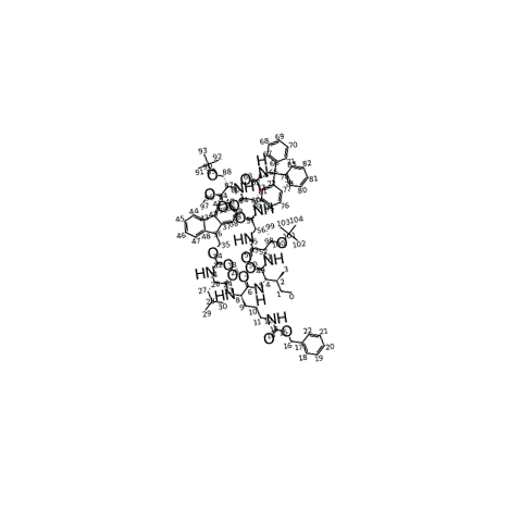 CC[C@H](C)[C@H](NC(=O)[C@@H](CCCNC(=O)OCc1ccccc1)NC(=O)[C@H](CC(C)C)NC(=O)OCC1c2ccccc2-c2ccccc21)C(=O)N[C@H](C(=O)NCC(=O)N[C@@H](CC(=O)NC(c1ccccc1)(c1ccccc1)c1ccccc1)C(=O)N[C@@H](COC(C)(C)C)C(=O)OC)[C@H](C)OC(C)(C)C